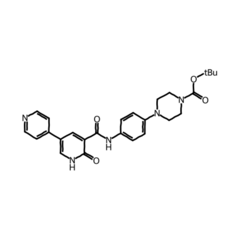 CC(C)(C)OC(=O)N1CCN(c2ccc(NC(=O)c3cc(-c4ccncc4)c[nH]c3=O)cc2)CC1